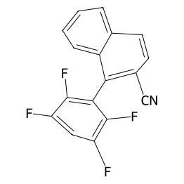 N#Cc1ccc2ccccc2c1-c1c(F)c(F)cc(F)c1F